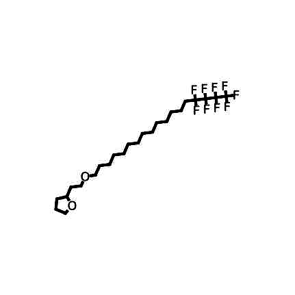 FC(F)(F)C(F)(F)C(F)(F)C(F)(F)CCCCCCCCCCCCCCOCCC1CCCO1